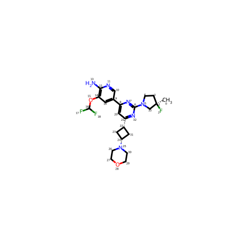 C[C@@]1(F)CCN(c2nc(-c3cnc(N)c(OC(F)F)c3)cc([C@H]3C[C@@H](N4CCOCC4)C3)n2)C1